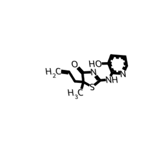 C=CCC1(C)SC(Nc2ncccc2O)=NC1=O